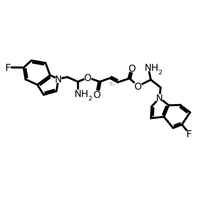 NC(Cn1ccc2cc(F)ccc21)OC(=O)/C=C/C(=O)OC(N)Cn1ccc2cc(F)ccc21